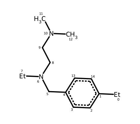 CCc1ccc(CN(CC)CCN(C)C)cc1